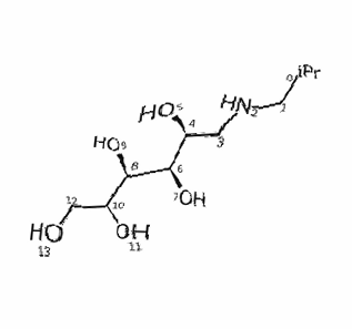 CC(C)CNC[C@H](O)[C@@H](O)[C@H](O)C(O)CO